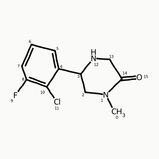 CN1CC(c2cccc(F)c2Cl)NCC1=O